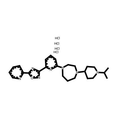 CC(C)N1CCC(N2CCCN(c3cccc(-c4noc(-c5ccccn5)n4)n3)CC2)CC1.Cl.Cl.Cl.Cl